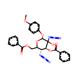 COc1ccc(O[C@@H]2OC(COC(=O)c3ccccc3)[C@@H](N=[N+]=[N-])[C@H](OC(=O)c3ccccc3)C2(O)N=[N+]=[N-])cc1